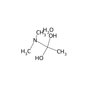 CN(C)C(C)(O)O.O